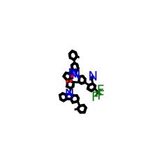 Cc1ccccc1-c1ccc2c(c1)c1ccccc1n2-c1ccc(C#N)c(-c2cc(-c3ccc(C(F)(F)F)cc3C#N)ccc2-n2c3ccccc3c3cc(-c4ccccc4C)ccc32)c1